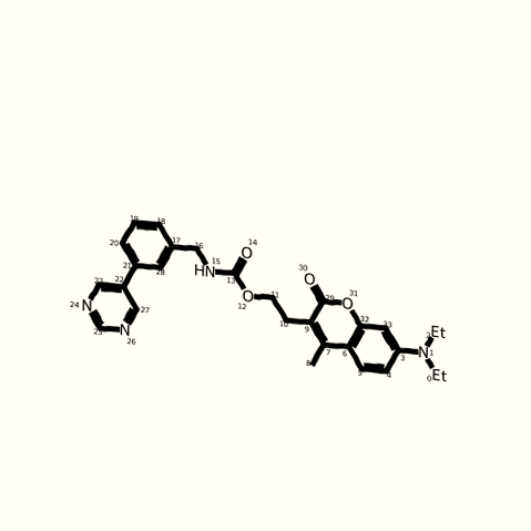 CCN(CC)c1ccc2c(C)c(CCOC(=O)NCc3cccc(-c4cncnc4)c3)c(=O)oc2c1